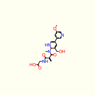 C=C(C(=O)NCC(=O)O)C(=O)N(C)C1NC=C(c2cncc(OC)c2)C=C1CO